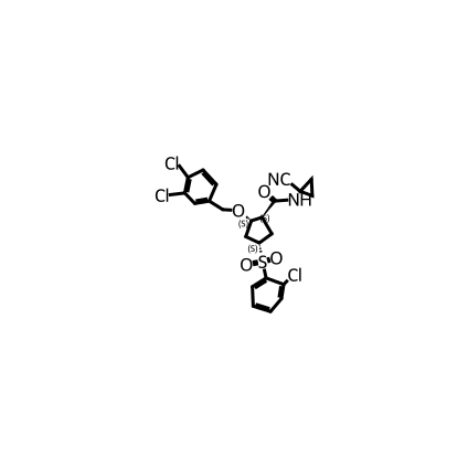 N#CC1(NC(=O)[C@H]2C[C@H](S(=O)(=O)c3ccccc3Cl)C[C@@H]2OCc2ccc(Cl)c(Cl)c2)CC1